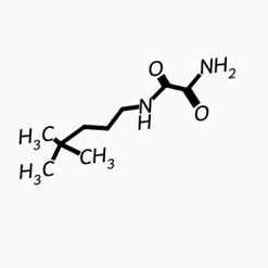 CC(C)(C)CCCNC(=O)C(N)=O